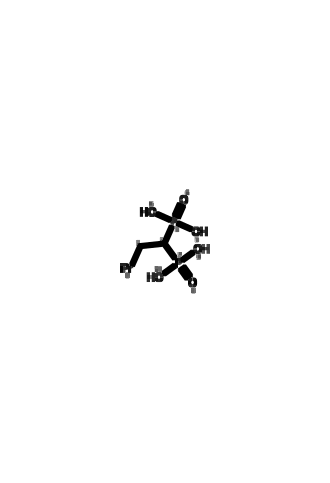 CC(C)CC(P(=O)(O)O)P(=O)(O)O